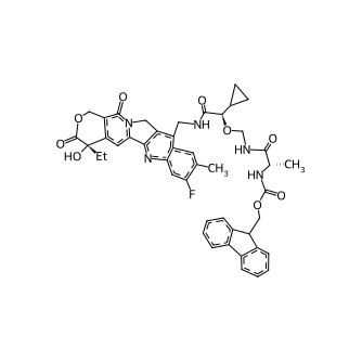 CC[C@@]1(O)C(=O)OCc2c1cc1n(c2=O)Cc2c-1nc1cc(F)c(C)cc1c2CNC(=O)[C@H](OCNC(=O)[C@H](C)NC(=O)OCC1c2ccccc2-c2ccccc21)C1CC1